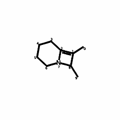 CC1=C2CCCCN2C1C